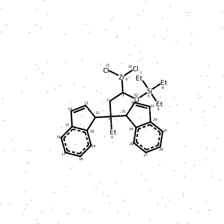 CCC(C[CH](O[Si](CC)(CC)CC)[Zr]([Cl])[Cl])(C1C=Cc2ccccc21)C1C=Cc2ccccc21